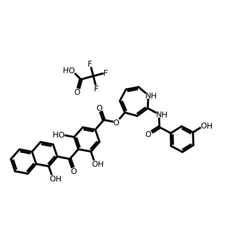 O=C(NC1=CC(OC(=O)c2cc(O)c(C(=O)c3ccc4ccccc4c3O)c(O)c2)=CC=CN1)c1cccc(O)c1.O=C(O)C(F)(F)F